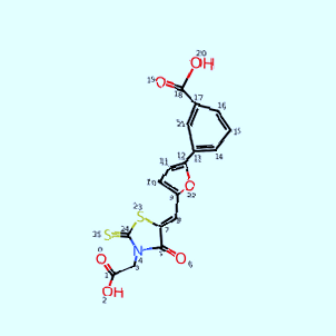 O=C(O)CN1C(=O)/C(=C/c2ccc(-c3cccc(C(=O)O)c3)o2)SC1=S